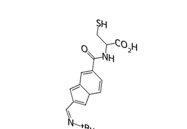 CC(C)(C)/N=C\C1=CC2C=CC(C(=O)NC(CS)C(=O)O)=CC2=C1